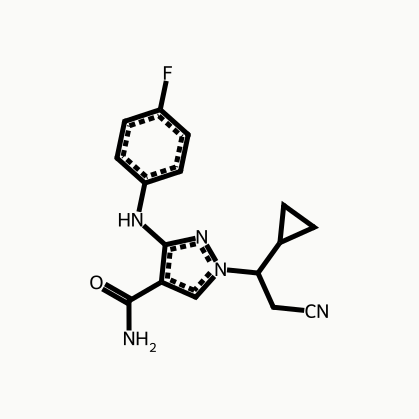 N#CCC(C1CC1)n1cc(C(N)=O)c(Nc2ccc(F)cc2)n1